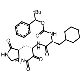 CC(C)(C)C(OC(=O)N[C@@H](CC1CCCCC1)C(=O)N[C@@H](C[C@@H]1CCNC1=O)C(=O)C(N)=O)c1ccccc1